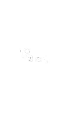 O=C(O)c1ccc(-c2nn(C(=O)c3c(Cl)cccc3C(F)(F)F)c3c2CCC3)cc1